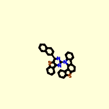 c1ccc2cc(-c3nc(-n4c5ccccc5c5ccc6sc7ccccc7c6c54)nc4c3sc3ccccc34)ccc2c1